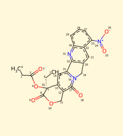 CCC(=O)O[C@]1(CC)C(=O)OCc2c1cc1n(c2=O)Cc2cc3c([N+](=O)[O-])cccc3nc2-1